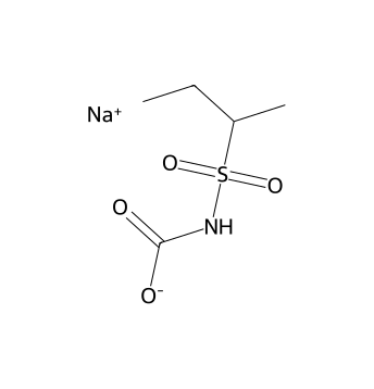 CCC(C)S(=O)(=O)NC(=O)[O-].[Na+]